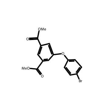 COC(=O)c1cc(Oc2ccc(Br)cc2)cc(C(=O)OC)c1